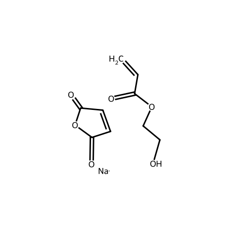 C=CC(=O)OCCO.O=C1C=CC(=O)O1.[Na]